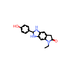 CCN1C(=O)Cc2cc3c(cc21)NC(c1ccc(O)cc1)N3